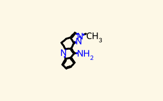 CCn1cc2c(n1)-c1c(nc3ccccc3c1N)CC2